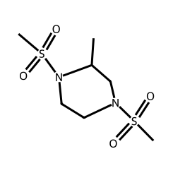 CC1CN(S(C)(=O)=O)CCN1S(C)(=O)=O